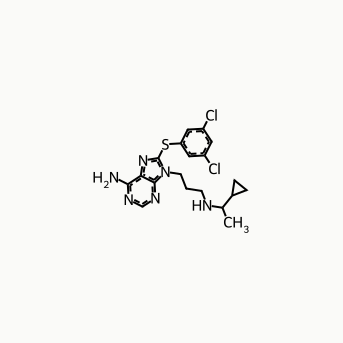 CC(NCCCn1c(Sc2cc(Cl)cc(Cl)c2)nc2c(N)ncnc21)C1CC1